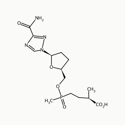 C[C@H](CCP(C)(=O)OC[C@@H]1CC[C@H](n2cnc(C(N)=O)n2)O1)C(=O)O